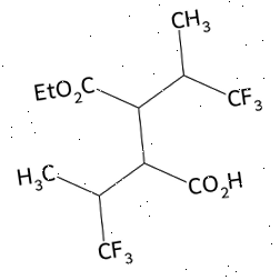 CCOC(=O)C(C(C(=O)O)C(C)C(F)(F)F)C(C)C(F)(F)F